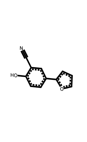 N#Cc1cc(-c2ccco2)ccc1O